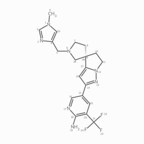 Cn1cnc(CN2CC[C@@]3(CCn4nc(-c5cnc(N)c(C(F)(F)F)c5)cc43)C2)c1